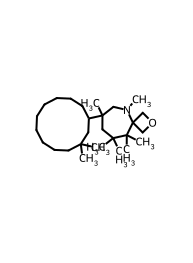 CN1CC(C)(C2CCCCCCCCCC(C)(C)C2)CC(C)(C)C(C)(C)C12COC2